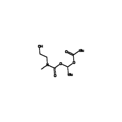 CN(CCO)C(=O)OC(OC(=O)C(C)(C)C)C(C)(C)C